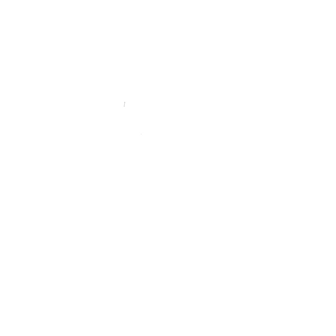 CC1CC(=O)C(C)C(C)C1